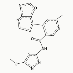 COc1nnc(NC(=O)c2cnc(C)cc2-c2ccnc3ncoc23)s1